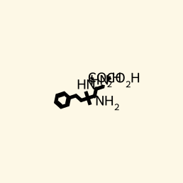 CC(C)(CCc1ccccc1)C(N)C(CNC(=O)O)NC(=O)O